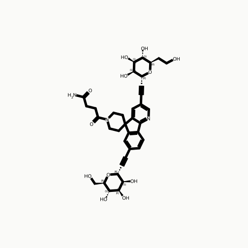 NC(=O)CCC(=O)N1CCC2(CC1)c1cc(C#C[C@H]3O[C@H](CO)[C@@H](O)[C@H](O)[C@@H]3O)ccc1-c1ncc(C#C[C@H]3O[C@H](CCO)[C@@H](O)[C@H](O)[C@@H]3O)cc12